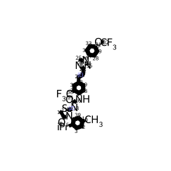 Cc1ccc(C(C)C)c(N2C(=O)CS/C2=N\C(=O)Nc2ccc(/C=C/c3ncn(-c4ccc(OC(F)(F)F)cc4)n3)cc2C(F)(F)F)c1